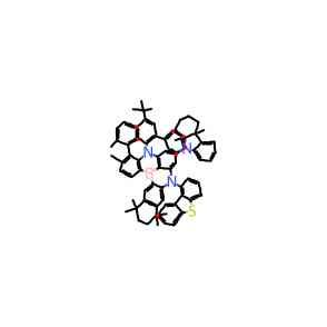 Cc1ccccc1-c1c(C)ccc2c1N(c1ccc(C(C)(C)C)cc1-c1ccccc1)c1cc(N3c4ccccc4C4(C)CCCCC34C)cc3c1B2c1cc2c(cc1N3c1cccc3sc4ccccc4c13)C(C)(C)CCC2(C)C